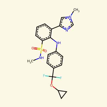 CNS(=O)(=O)c1cccc(-c2cn(C)cn2)c1Nc1ccc(C(F)(F)OC2CC2)cc1